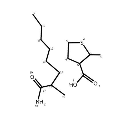 CC1SCCC1C(=O)O.CCCCCCC(C)C(N)=O